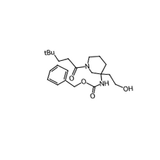 CC(C)(C)CCC(=O)N1CCCC(CCO)(NC(=O)OCc2ccccc2)C1